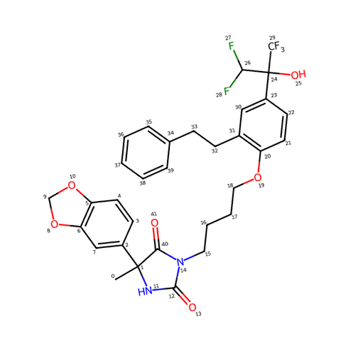 CC1(c2ccc3c(c2)OCO3)NC(=O)N(CCCCOc2ccc(C(O)(C(F)F)C(F)(F)F)cc2CCc2ccccc2)C1=O